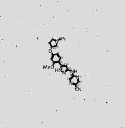 COc1cc(O[C@@H]2CCN(C(C)C)C2)ccc1-c1cc(Nc2cnc(C#N)cn2)n[nH]1